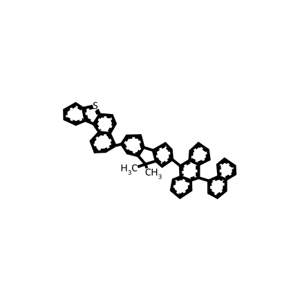 CC1(C)c2cc(-c3c4ccccc4c(-c4cccc5ccccc45)c4ccccc34)ccc2-c2ccc(-c3cccc4c3ccc3sc5ccccc5c34)cc21